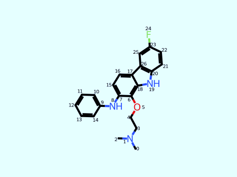 CN(C)CCOc1c(Nc2ccccc2)ccc2c1[nH]c1ccc(F)cc12